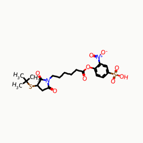 CC(C)(C)SC1CC(=O)N(CCCCCC(=O)Oc2ccc(S(=O)(=O)O)cc2[N+](=O)[O-])C1=O